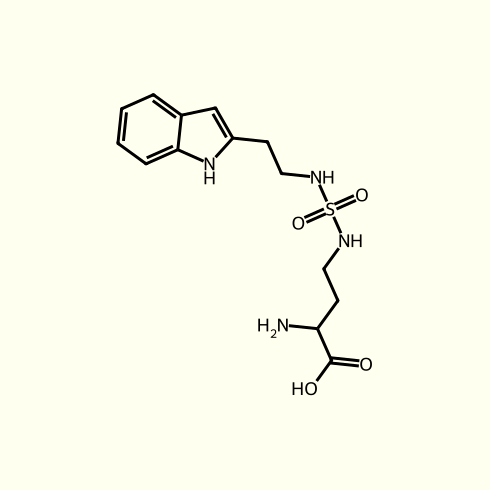 NC(CCNS(=O)(=O)NCCc1cc2ccccc2[nH]1)C(=O)O